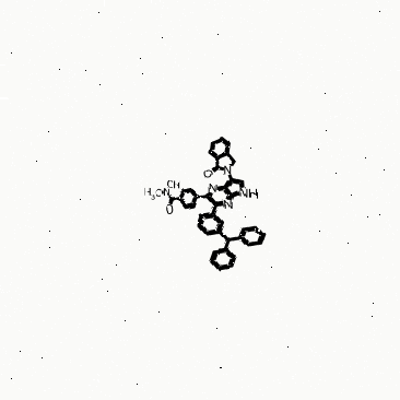 CN(C)C(=O)c1ccc(-c2nc3c(N4Cc5ccccc5C4=O)c[nH]c3nc2-c2cccc(C(c3ccccc3)c3ccccc3)c2)cc1